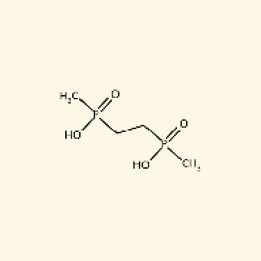 CP(=O)(O)CCP(C)(=O)O